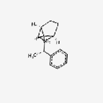 C[C@@H](c1ccccc1)N1C[C@H]2CC[C@@H]1[C@@H]2N